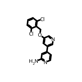 Nc1cc(-c2cncc(OCc3c(Cl)cccc3Cl)c2)ccn1